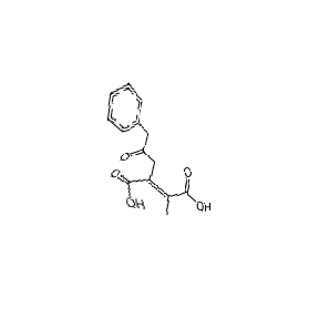 C/C(C(=O)O)=C(/CC(=O)Cc1ccccc1)C(=O)O